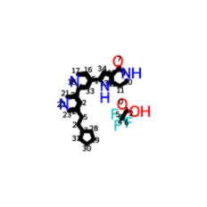 O=C(O)C(F)(F)F.O=C1NCCc2[nH]c(-c3ccnc(-c4cncc(CCC5CCCC5)c4)c3)cc21